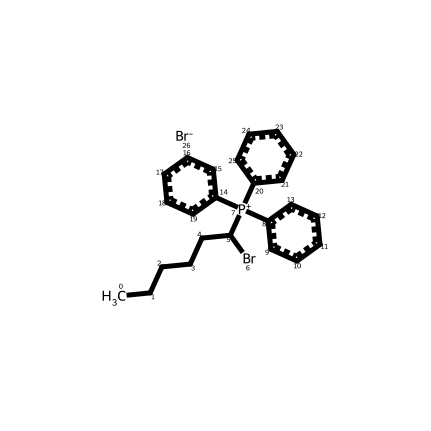 CCCCCC(Br)[P+](c1ccccc1)(c1ccccc1)c1ccccc1.[Br-]